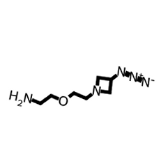 [N-]=[N+]=NC1CN(CCOCCN)C1